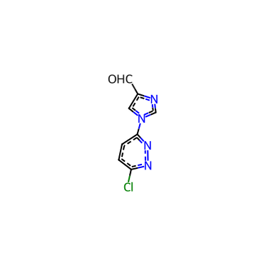 O=Cc1cn(-c2ccc(Cl)nn2)cn1